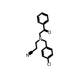 N#CCCN(CC(=O)c1ccccc1)Cc1ccc(Cl)cc1